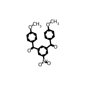 COc1ccc(C(=O)c2cc(C(=O)c3ccc(OC)cc3)cc([N+](=O)[O-])c2)cc1